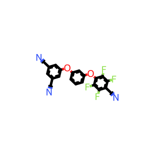 N#Cc1cc(C#N)cc(Oc2cccc(Oc3c(F)c(F)c(C#N)c(F)c3F)c2)c1